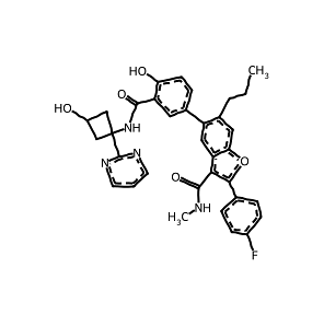 CCCc1cc2oc(-c3ccc(F)cc3)c(C(=O)NC)c2cc1-c1ccc(O)c(C(=O)NC2(c3ncccn3)CC(O)C2)c1